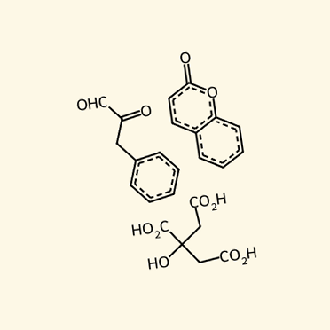 O=C(O)CC(O)(CC(=O)O)C(=O)O.O=CC(=O)Cc1ccccc1.O=c1ccc2ccccc2o1